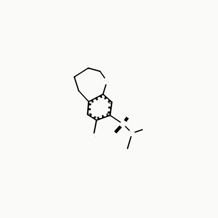 CN(C)S(=O)(=O)c1cc2c(cc1O)CCCCN2